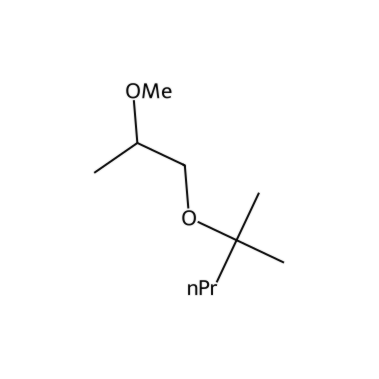 CCCC(C)(C)OCC(C)OC